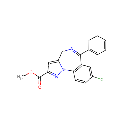 COC(=O)c1cc2n(n1)-c1ccc(Cl)cc1C(C1=CC=CCC1)=NC2